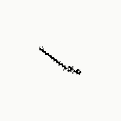 CCC=CCC=CCC=CCC=CCC=CCCCC(=O)N1CCC(NC(=O)c2cccnc2)CC1